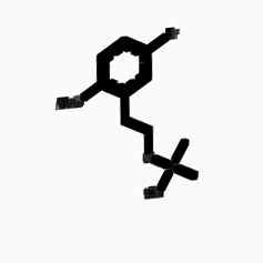 COc1ccc(Br)cc1CCO[Si](C)(C)C(C)(C)C